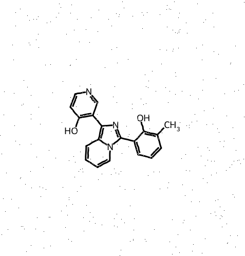 Cc1cccc(-c2nc(-c3cnccc3O)c3ccccn23)c1O